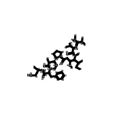 CCC(C)C(C(CC(=O)N1CCC[C@H]1C(OC)C(C)C(=O)NC(Cc1ccccc1)C(=O)NC(C)CO)OC)N(C)C(=O)C(N=C(N(C)C)N(C)C)C(C)C